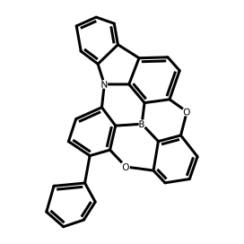 c1ccc(-c2ccc3c4c2Oc2cccc5c2B4c2c(ccc4c6ccccc6n-3c24)O5)cc1